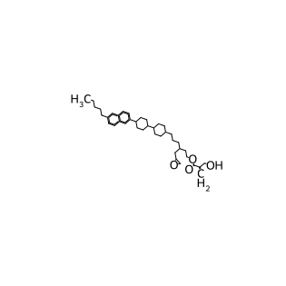 C=C(CO)C(=O)OCCC(CCCC1CCC(C2CCC(c3ccc4cc(CCCCC)ccc4c3)CC2)CC1)CC1CO1